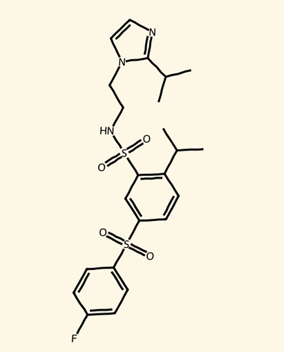 CC(C)c1ccc(S(=O)(=O)c2ccc(F)cc2)cc1S(=O)(=O)NCCn1ccnc1C(C)C